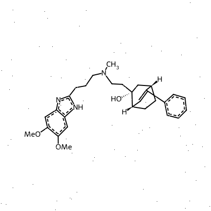 COc1cc2nc(CCCN(C)CC[C@@]3(O)C[C@@H]4CC[C@H]3C=C4c3ccccc3)[nH]c2cc1OC